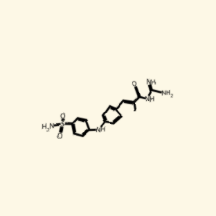 C/C(=C\c1ccc(Nc2ccc(S(N)(=O)=O)cc2)cc1)C(=O)NC(=N)N